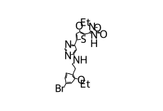 CCOc1cc(Br)ccc1CCNc1cc(-c2cc(OCC)c(-c3noc(=O)[nH]3)s2)ncn1